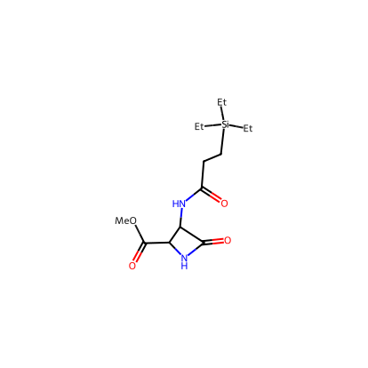 CC[Si](CC)(CC)CCC(=O)NC1C(=O)NC1C(=O)OC